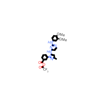 COc1ccc(Nc2nccc(Nc3cc(C)nn3-c3cccc(C(=O)OC(=O)C(F)(F)F)c3)n2)cc1OC